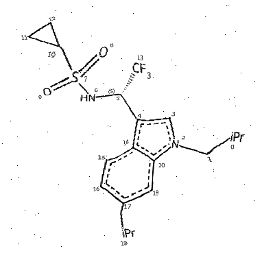 CC(C)Cn1cc([C@H](NS(=O)(=O)C2CC2)C(F)(F)F)c2ccc(C(C)C)cc21